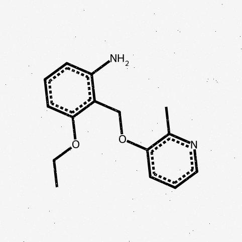 CCOc1cccc(N)c1COc1cccnc1C